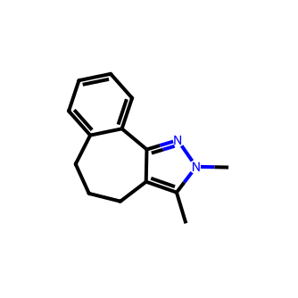 Cc1c2c(nn1C)-c1ccccc1CCC2